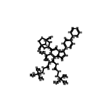 C=C(C)c1c([C@H]2C[C@@H]3CC[C@@H](C3)C2)nc2c(-c3ccc(-c4ccccc4)nc3)cnn2c1N(COCC[Si](C)(C)C)COCC[Si](C)(C)C